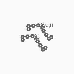 O=C(O)O.O=C(Oc1ccc(-c2ccc(-c3cccc4ccccc34)cc2)cc1)Oc1ccc(-c2ccc(-c3cccc4ccccc34)cc2)cc1.O=C(Oc1ccc(-c2ccc(-c3cccc4ccccc34)cc2)cc1)Oc1ccc(-c2ccc(-c3cccc4ccccc34)cc2)cc1